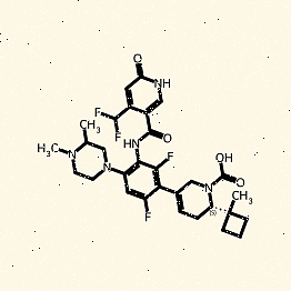 CC1CN(c2cc(F)c(C3=CC[C@@H](C4(C)CCC4)N(C(=O)O)C3)c(F)c2NC(=O)c2c[nH]c(=O)cc2C(F)F)CCN1C